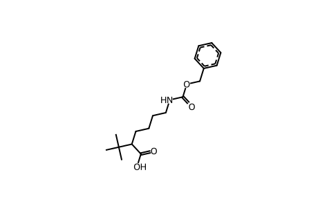 CC(C)(C)C(CCCCNC(=O)OCc1ccccc1)C(=O)O